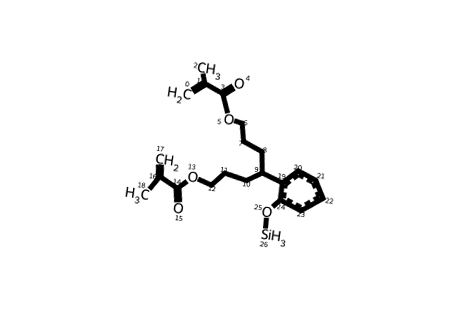 C=C(C)C(=O)OCCCC(CCCOC(=O)C(=C)C)c1ccccc1O[SiH3]